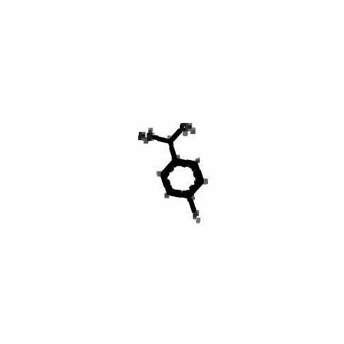 CC([SiH3])c1ccc(F)cc1